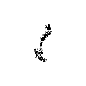 CC(=O)O[C@@H]1C[C@@H](C(=O)NCc2ccc(-c3scnc3C)cc2)N(C(=O)[C@@H](NC(=O)COCCCCOc2ccc(-c3ncc(N4C(=S)N(c5ccc(C#N)c(C(F)(F)F)c5F)C(=O)C4(C)C)cc3F)cc2F)C(C)(C)C)C1